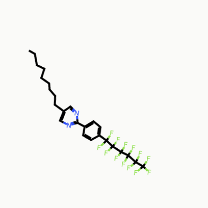 CCCCCCCCCc1cnc(-c2ccc(C(F)(F)C(F)(F)C(F)(F)C(F)(F)C(F)(F)C(F)(F)F)cc2)nc1